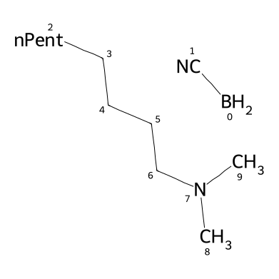 BC#N.CCCCCCCCCN(C)C